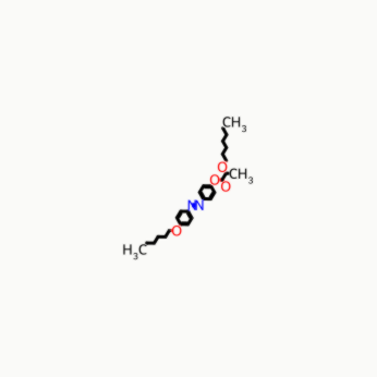 CCCCCCCOC(C)C(=O)Oc1ccc(N=Nc2ccc(OCCCCCC)cc2)cc1